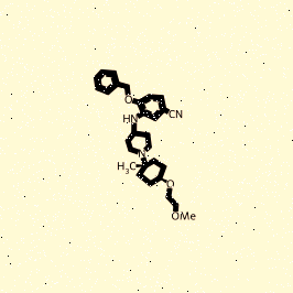 COCCO[C@H]1CC[C@](C)(N2CCC(Nc3cc(C#N)ccc3OCc3ccccc3)CC2)CC1